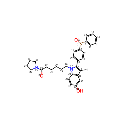 Cc1c(-c2ccc([S+]([O-])c3ccccc3)cc2)n(CCCCCC(=O)N2CCCC2)c2ccc(O)cc12